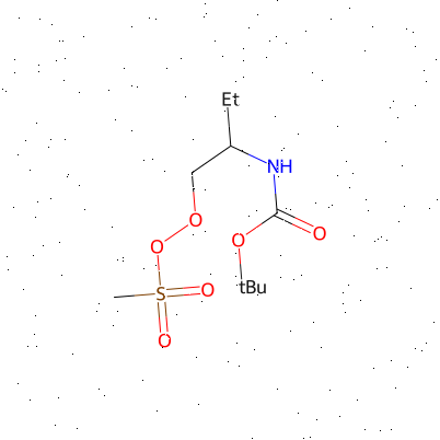 CCC(COOS(C)(=O)=O)NC(=O)OC(C)(C)C